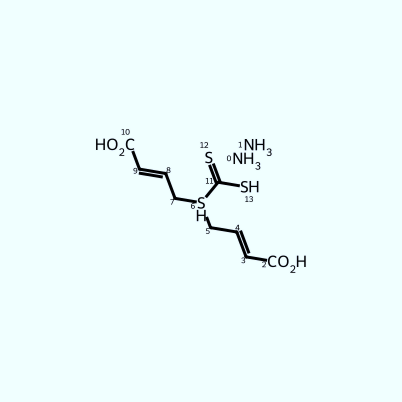 N.N.O=C(O)C=CC[SH](CC=CC(=O)O)C(=S)S